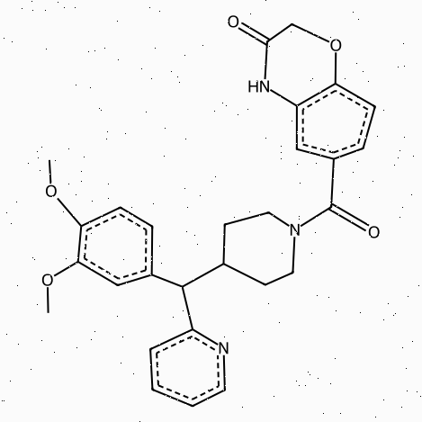 COc1ccc(C(c2ccccn2)C2CCN(C(=O)c3ccc4c(c3)NC(=O)CO4)CC2)cc1OC